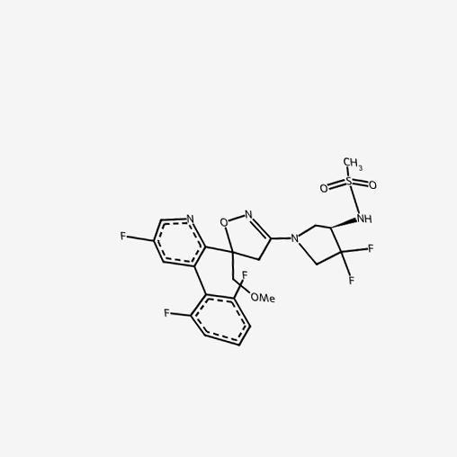 COCC1(c2ncc(F)cc2-c2c(F)cccc2F)CC(N2C[C@@H](NS(C)(=O)=O)C(F)(F)C2)=NO1